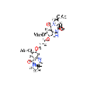 COc1cc2c(cc1OCCCCOc1cc3c(cc1OC)C(=O)N1C[C@H](OC(C)=O)C[C@H]1C(=O)N3)N=C[C@H]1CCCN1C2=O